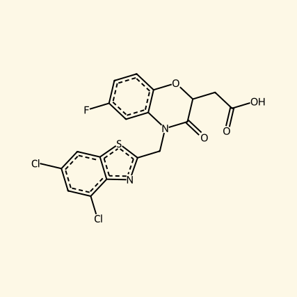 O=C(O)CC1Oc2ccc(F)cc2N(Cc2nc3c(Cl)cc(Cl)cc3s2)C1=O